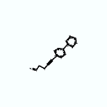 O=CCCC#Cc1ccc(-c2ccccc2)cc1